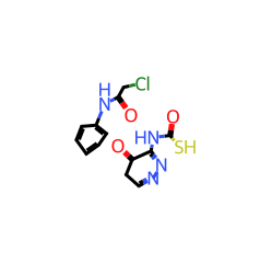 O=C(CCl)Nc1ccccc1.O=C(S)NC1=NN=CCC1=O